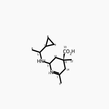 CC1=NC(NC(C)C2CC2)C[C@@](C)(C(=O)O)C1